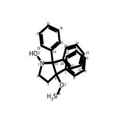 ON1CCC(O[SiH3])(c2ccccc2)C1(c1ccccc1)c1ccccc1